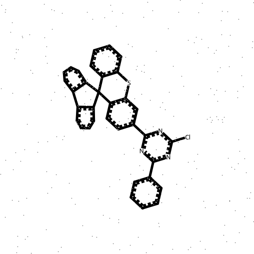 Clc1nc(-c2ccccc2)nc(-c2ccc3c(c2)Sc2ccccc2C32c3ccccc3-c3ccccc32)n1